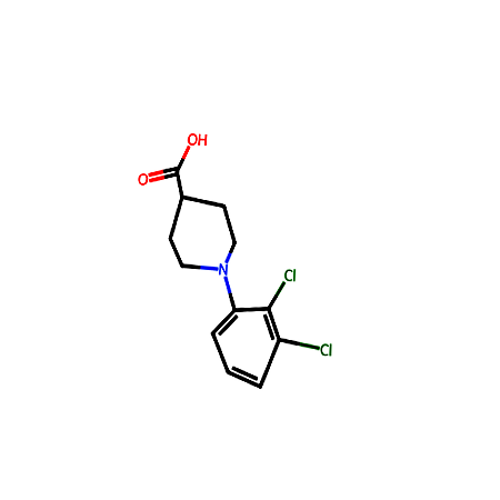 O=C(O)C1CCN(c2cccc(Cl)c2Cl)CC1